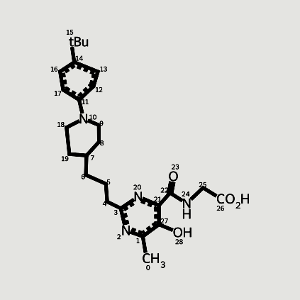 Cc1nc(CCCC2CCN(c3ccc(C(C)(C)C)cc3)CC2)nc(C(=O)NCC(=O)O)c1O